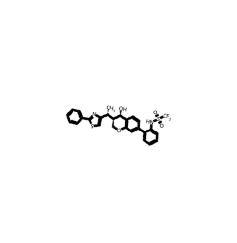 C[C@@H](c1csc(-c2ccccc2)n1)[C@@H]1COc2cc(-c3ccccc3NS(=O)(=O)C(F)(F)F)ccc2[C@@H]1O